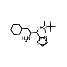 CC(C)(C)[Si](C)(C)OC(c1nccs1)C(N)CC1CCCCC1